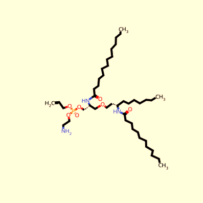 C=CCOP(=O)(OCCN)OC[C@@H](COCC[C@H](CCCCCCC)NC(=O)CCCCCCCCCCC)NC(=O)CCCCCCCCCCCCC